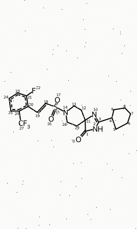 O=C1NC(C2CCCCC2)=NC12CCN(S(=O)(=O)C=Cc1c(F)cccc1C(F)(F)F)CC2